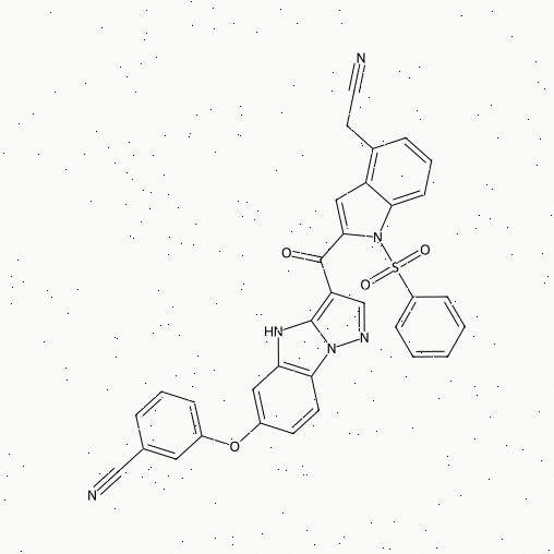 N#CCc1cccc2c1cc(C(=O)c1cnn3c1[nH]c1cc(Oc4cccc(C#N)c4)ccc13)n2S(=O)(=O)c1ccccc1